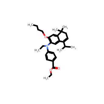 CCCCOc1cc2c(cc1N(CC)c1ccc(C(=O)OCC)cc1)C(C(C)C)=CCC2(C)C